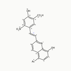 CC(=O)c1ccc(O)c2nc(/C=C/c3cc(C(=O)O)c(O)cc3[N+](=O)[O-])ccc12